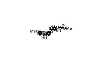 COC(=O)CCCOc1cc2nccc(Oc3ccc(NC(=O)Nc4ccc(OC)cc4)cc3)c2cc1C#N